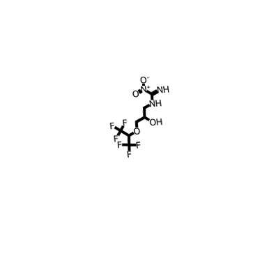 N=C(NCC(O)COC(C(F)(F)F)C(F)(F)F)[N+](=O)[O-]